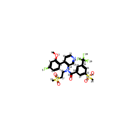 COc1cc(F)ccc1-c1ccncc1N(CCS(C)(=O)=O)C(=O)c1cc(C(F)(F)F)cc(S(C)(=O)=O)c1